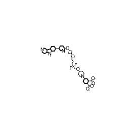 COC(=O)c1ccc(N2CCC(OCC(F)(F)CCCO[C@H]3C[C@H](Oc4ccc(-c5ccc6c7cnccc7n(C)c6c5)cn4)C3)CC2)cc1C(=O)OC